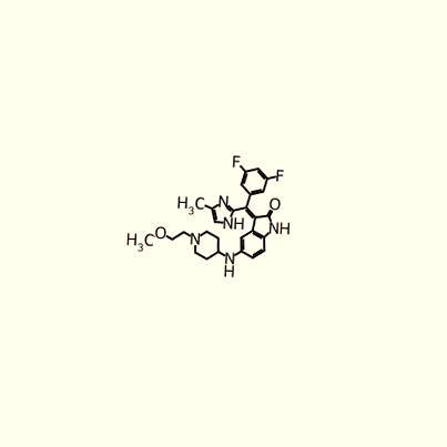 COCCN1CCC(Nc2ccc3c(c2)C(=C(c2cc(F)cc(F)c2)c2nc(C)c[nH]2)C(=O)N3)CC1